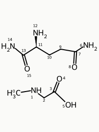 CNCC(=O)O.NC(=O)CC[C@H](N)C(N)=O